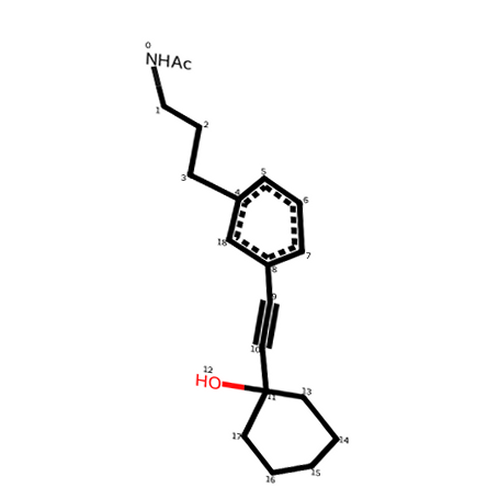 CC(=O)NCCCc1cccc(C#CC2(O)CCCCC2)c1